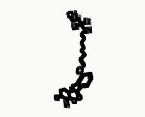 C=CCC(CC)(CC)NCCCCCCCCOc1cccc2c1CN(C1CCC(=O)NC1=O)C2=O